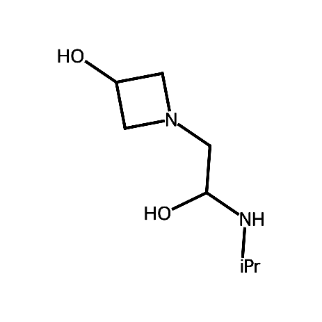 CC(C)NC(O)CN1CC(O)C1